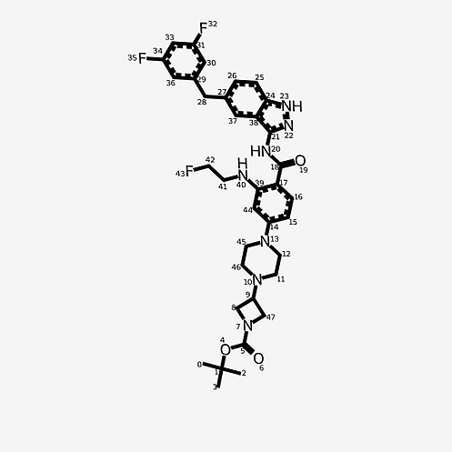 CC(C)(C)OC(=O)N1CC(N2CCN(c3ccc(C(=O)Nc4n[nH]c5ccc(Cc6cc(F)cc(F)c6)cc45)c(NCCF)c3)CC2)C1